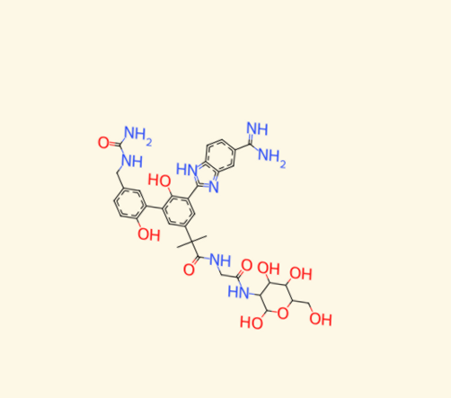 CC(C)(C(=O)NCC(=O)NC1C(O)OC(CO)C(O)C1O)c1cc(-c2nc3cc(C(=N)N)ccc3[nH]2)c(O)c(-c2cc(CNC(N)=O)ccc2O)c1